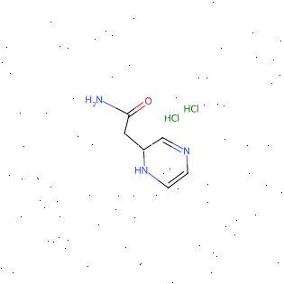 Cl.Cl.NC(=O)CC1C=NC=CN1